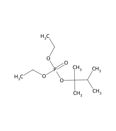 CCOP(=O)(OCC)OC(C)(C)C(C)C